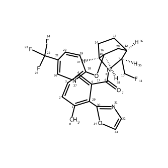 Cc1cccc(C(=O)N2[C@H](CF)[C@@H]3CC[C@H]2[C@H](Oc2ccc(C(F)(F)F)cn2)C3)c1-c1ncco1